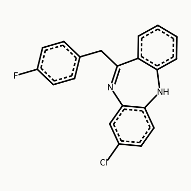 Fc1ccc(CC2=Nc3cc(Cl)ccc3Nc3ccccc32)cc1